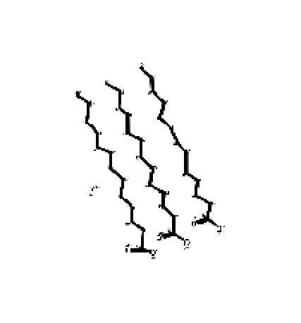 CCCCCCCCCCCCC(=O)[O-].CCCCCCCCCCCCC(=O)[O-].CCCCCCCCCCCCC(=O)[O-].[Y+3]